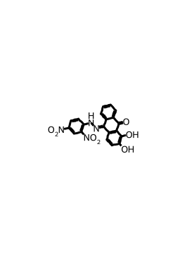 O=C1c2ccccc2C(=NNc2ccc([N+](=O)[O-])cc2[N+](=O)[O-])c2ccc(O)c(O)c21